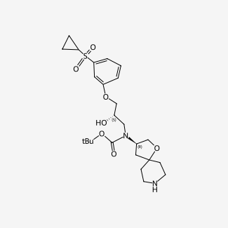 CC(C)(C)OC(=O)N(C[C@H](O)COc1cccc(S(=O)(=O)C2CC2)c1)[C@H]1COC2(CCNCC2)C1